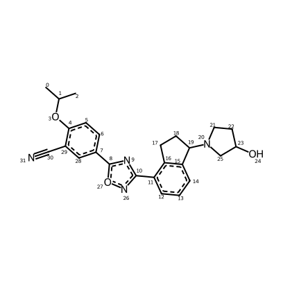 CC(C)Oc1ccc(-c2nc(-c3cccc4c3CCC4N3CCC(O)C3)no2)cc1C#N